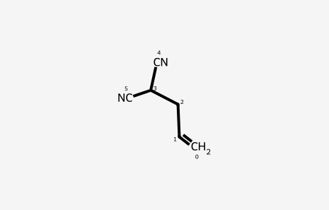 C=CCC(C#N)C#N